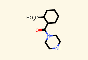 O=C(O)C1CCCCC1C(=O)N1CCNCC1